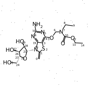 C=C1Sc2c(OCN(CC)C(=O)OCC)nc(N)nc2N1[C@@H]1O[C@H](CO)[C@@H](O)[C@H]1O